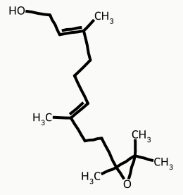 CC(=CCO)CCC=C(C)CCC1(C)OC1(C)C